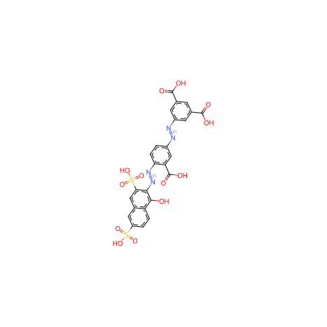 O=C(O)c1cc(/N=N/c2ccc(/N=N/c3c(S(=O)(=O)O)cc4cc(S(=O)(=O)O)ccc4c3O)c(C(=O)O)c2)cc(C(=O)O)c1